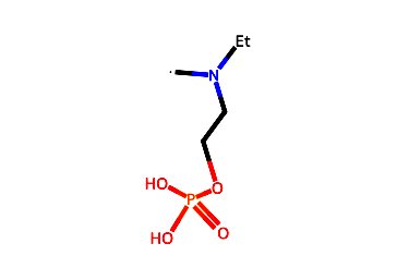 [CH2]N(CC)CCOP(=O)(O)O